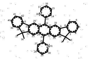 CC1(C)c2ccccc2-c2cc3c(-c4ccccn4)c4cc5c(cc4c(-c4ccccn4)c3cc21)C(C)(C)c1ccccc1-5